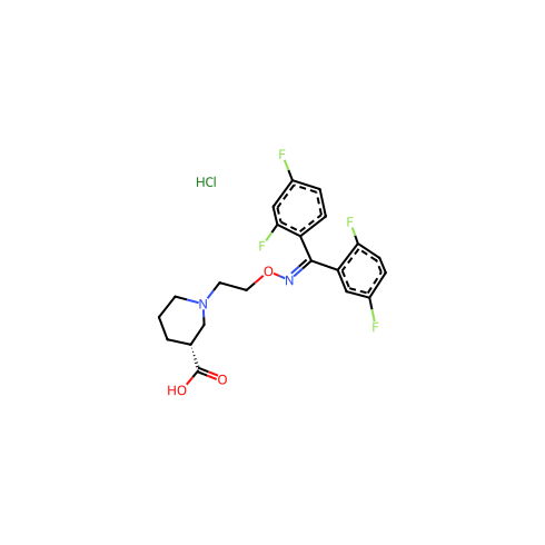 Cl.O=C(O)[C@@H]1CCCN(CCO/N=C(\c2ccc(F)cc2F)c2cc(F)ccc2F)C1